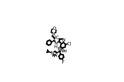 BC(Nc1cc(Cl)c2ncc(C#N)c(N[C@H](CCN3CCOCC3)c3ccccc3)c2c1)(c1ccc(F)cc1)c1cn(C2CC2)nn1